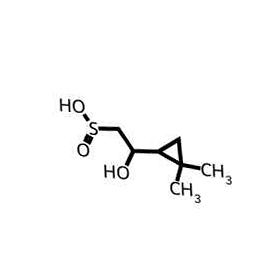 CC1(C)CC1C(O)CS(=O)O